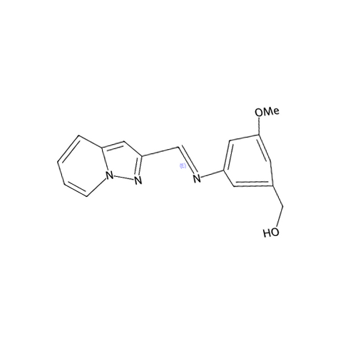 COc1cc(CO)cc(/N=C/c2cc3ccccn3n2)c1